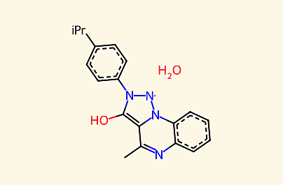 CC1=Nc2ccccc2N2[N]N(c3ccc(C(C)C)cc3)C(O)=C12.O